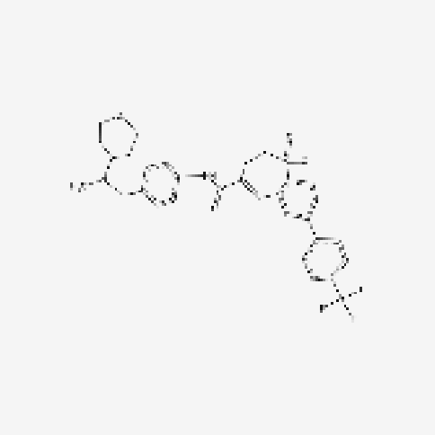 CN(Cc1ccc(NC(=O)C2=Cc3cc(-c4ccc(C(F)(F)F)cc4)ccc3S(=O)(=O)CC2)cc1)C1CCOCC1